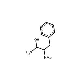 CNC(Cc1ccccc1)C(N)O